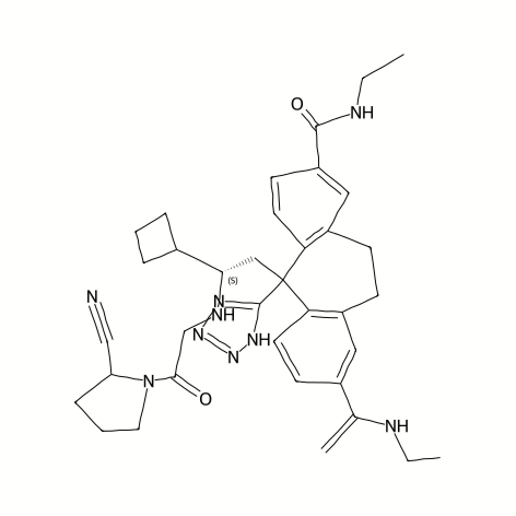 C=C(NCC)c1ccc2c(c1)CCc1cc(C(=O)NCC)ccc1C2(C[C@H](NCC(=O)N1CCCC1C#N)C1CCC1)c1nnn[nH]1